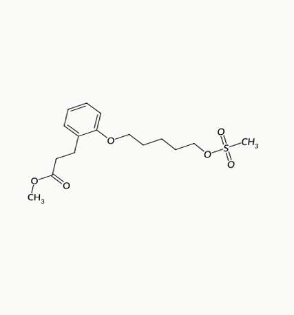 COC(=O)CCc1ccccc1OCCCCCOS(C)(=O)=O